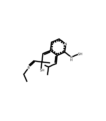 CC/B=C/C(C)(S)/C=c1/ccnc(NS)/c1=C/C(C)C